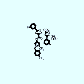 O=C(Nc1cnn(Cc2ccc(C(F)(F)F)cc2C(F)(F)F)c1)c1nc(-c2cccc(F)c2)no1.O=C([O-])c1nc(-c2cccc(F)c2)no1.O=CO.[Na+]